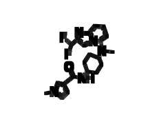 Cn1ccc(C(=O)N[C@H]2CC[C@@H](N(C)c3cccc4nc(C(F)F)cn34)CC2)c1